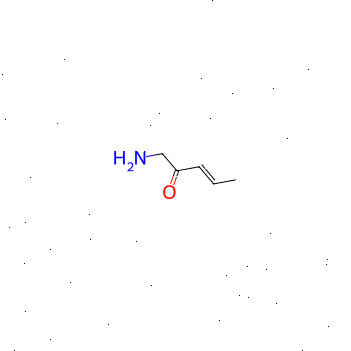 C/C=C/C(=O)CN